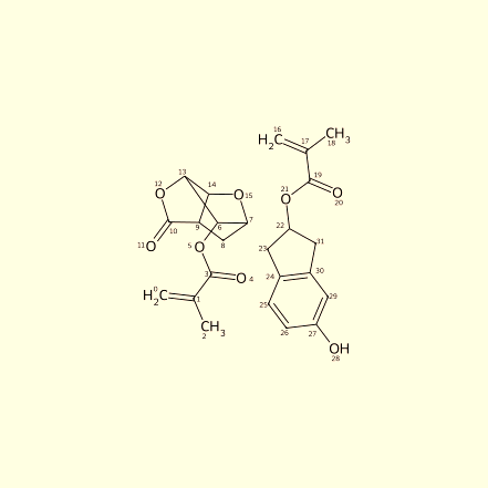 C=C(C)C(=O)OC1C2CC3C(=O)OC1C3O2.C=C(C)C(=O)OC1Cc2ccc(O)cc2C1